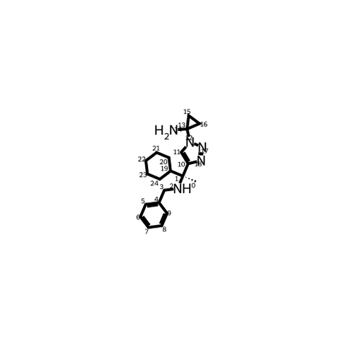 C[C@@](NCc1ccccc1)(c1cn(C2(N)CC2)nn1)C1CCCCC1